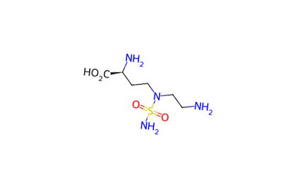 NCCN(CC[C@H](N)C(=O)O)S(N)(=O)=O